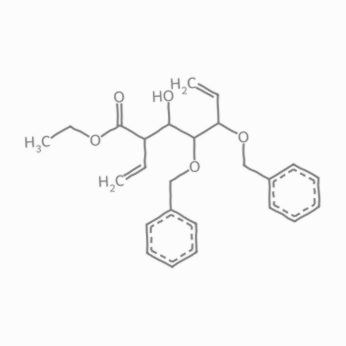 C=CC(OCc1ccccc1)C(OCc1ccccc1)C(O)C(C=C)C(=O)OCC